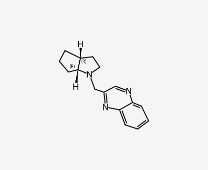 c1ccc2nc(CN3CC[C@H]4CCC[C@H]43)cnc2c1